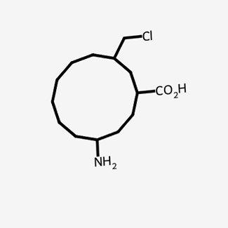 NC1CCCCCCC(CCl)CC(C(=O)O)CC1